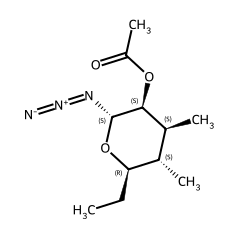 CC[C@H]1O[C@H](N=[N+]=[N-])[C@@H](OC(C)=O)[C@@H](C)[C@@H]1C